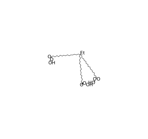 CCC(CCCCCCCCCCCCCCCC(=O)OCO)(CCCCCCCCCCCCCCCC(=O)OCO)CCCCCCCCCCCCCCCC(=O)OCO